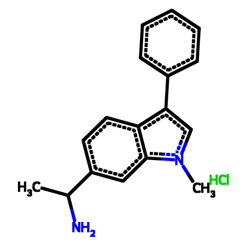 CC(N)c1ccc2c(-c3ccccc3)cn(C)c2c1.Cl